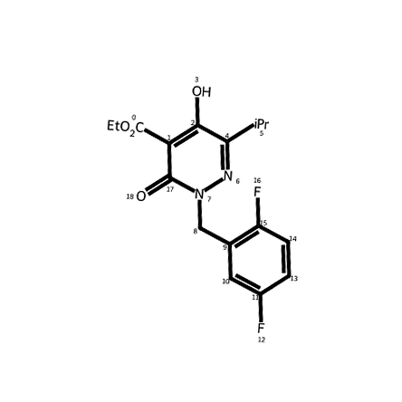 CCOC(=O)c1c(O)c(C(C)C)nn(Cc2cc(F)ccc2F)c1=O